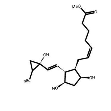 CCCCC1C[C@@]1(O)/C=C/[C@@H]1[C@@H](C/C=C\CCCC(=O)OC)[C@@H](O)C[C@H]1O